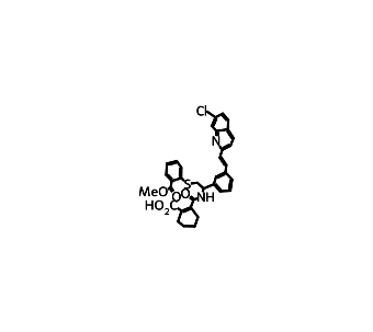 COC(=O)c1ccccc1SCC(NC(=O)C1=C(C(=O)O)CCCC1)c1cccc(/C=C/c2ccc3ccc(Cl)cc3n2)c1